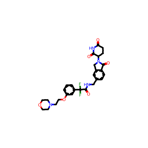 O=C1CCC(N2Cc3cc(CNC(=O)C(F)(F)c4cccc(OCCN5CCOCC5)c4)ccc3C2=O)C(=O)N1